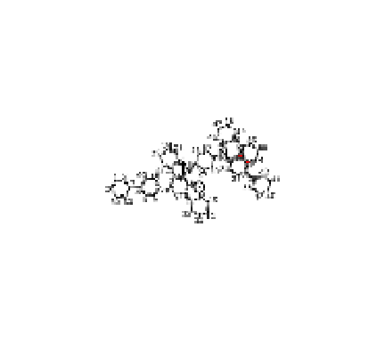 c1ccc(-c2ccc(-c3cc4c5ccccc5oc4c4c3c3ccccc3n4-c3ccc(N(c4ccc(-c5ccccc5)cc4)c4ccccc4-c4ccccc4)cc3)cc2)cc1